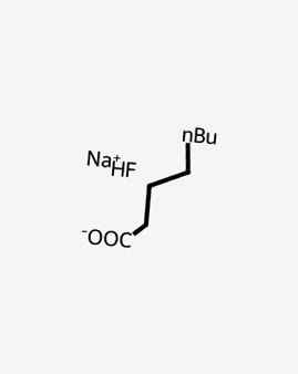 CCCCCCCC(=O)[O-].F.[Na+]